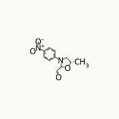 C[C@H]1CN(c2ccc([N+](=O)[O-])cc2)C(C=O)O1